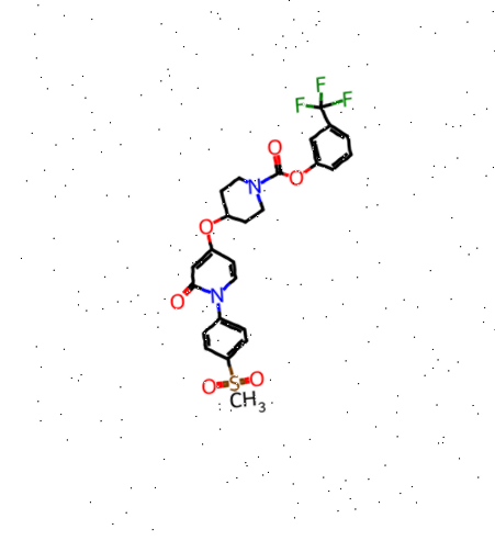 CS(=O)(=O)c1ccc(-n2ccc(OC3CCN(C(=O)Oc4cccc(C(F)(F)F)c4)CC3)cc2=O)cc1